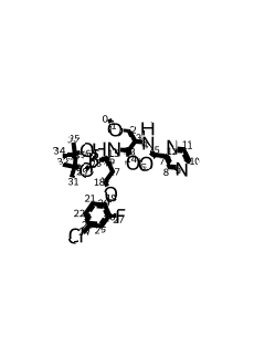 COCC(NC(=O)c1cnccn1)C(=O)NC(CCOc1ccc(Cl)cc1F)B1OC(C)(C)C(C)(C)O1